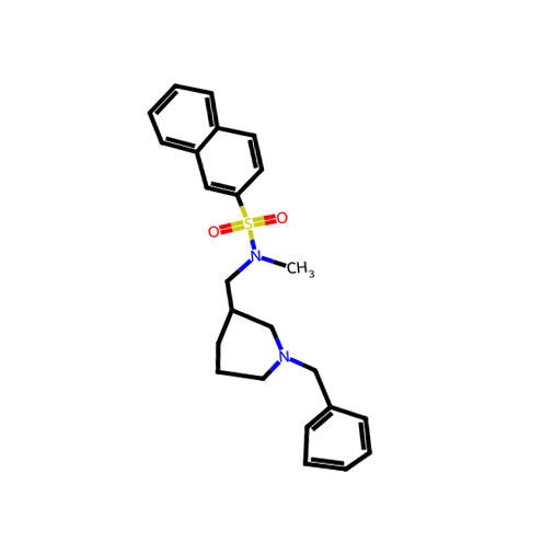 CN(CC1CCCN(Cc2ccccc2)C1)S(=O)(=O)c1ccc2ccccc2c1